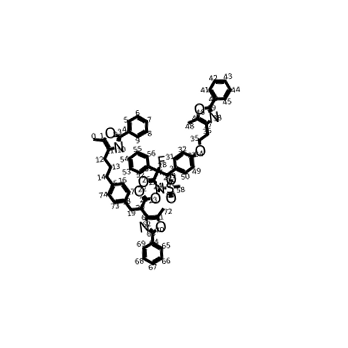 Cc1oc(-c2ccccc2)nc1CCCc1ccc(CC(C(=O)ON(C(=O)C(F)(Cc2ccc(OCCc3nc(-c4ccccc4)oc3C)cc2)c2ccccc2)S(C)(=O)=O)c2nc(-c3ccccc3)oc2C)cc1